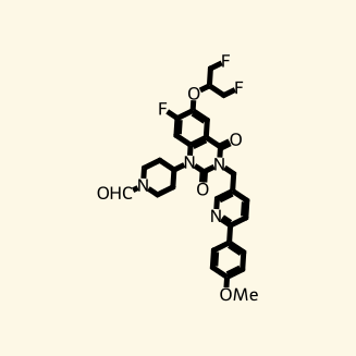 COc1ccc(-c2ccc(Cn3c(=O)c4cc(OC(CF)CF)c(F)cc4n(C4CCN(C=O)CC4)c3=O)cn2)cc1